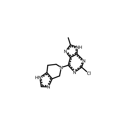 Cc1nc2c(N3CCc4[nH]cnc4C3)nc(Cl)nc2[nH]1